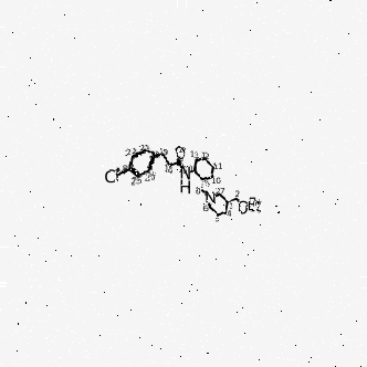 CCOC[C@H]1CCCN(C[C@H]2CCCC[C@@H]2NC(=O)CCc2ccc(Cl)cc2)C1